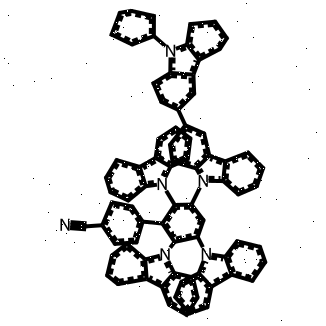 N#Cc1ccc(-c2c(-n3c4ccccc4c4ccccc43)c(-n3c4ccccc4c4ccccc43)cc(-n3c4ccccc4c4cc(-c5ccc6c(c5)c5ccccc5n6-c5ccccc5)ccc43)c2-n2c3ccccc3c3ccccc32)cc1